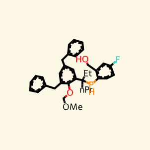 CCCC(CC)(Pc1ccc(F)cc1CO)c1cc(Cc2ccccc2)cc(Cc2ccccc2)c1OCOC